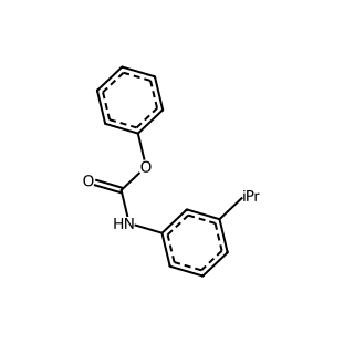 CC(C)c1cccc(NC(=O)Oc2ccccc2)c1